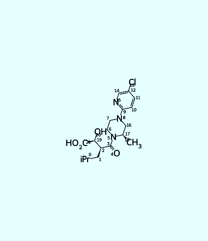 CC(C)C[C@H](C(=O)N1CCN(c2ccc(Cl)cn2)C[C@H]1C)[C@H](O)C(=O)O